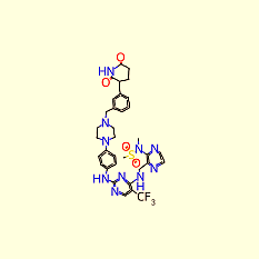 CN(c1nccnc1CNc1nc(Nc2ccc(N3CCN(Cc4cccc(C5CCC(=O)NC5=O)c4)CC3)cc2)ncc1C(F)(F)F)S(C)(=O)=O